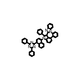 c1ccc(-c2nc(-c3ccccc3)nc(-c3ccc(-n4c(-c5ccccc5)c5c6c(cccc64)c4ccccc4n4c6ccccc6nc54)c4ccccc34)n2)cc1